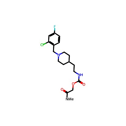 CNC(=O)COC(=O)NCCC1CCN(Cc2ccc(F)cc2Cl)CC1